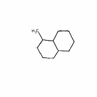 CC1[CH]CCC2CCCCC12